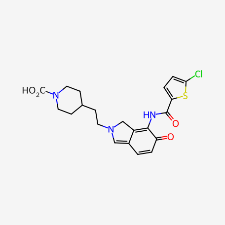 O=C1C=CC2=CN(CCC3CCN(C(=O)O)CC3)CC2=C1NC(=O)c1ccc(Cl)s1